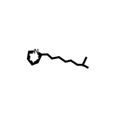 C[C](C)CCCCCCc1ccccn1